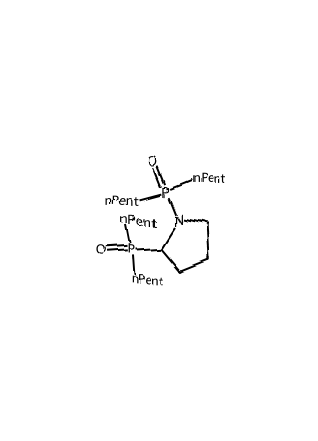 CCCCCP(=O)(CCCCC)C1CCCN1P(=O)(CCCCC)CCCCC